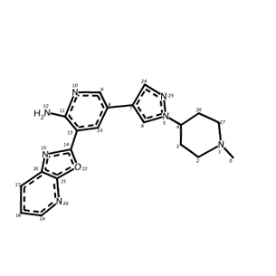 CN1CCC(n2cc(-c3cnc(N)c(-c4nc5cccnc5o4)c3)cn2)CC1